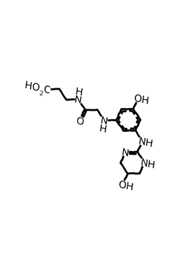 O=C(O)CCNC(=O)CNc1cc(O)cc(NC2=NCC(O)CN2)c1